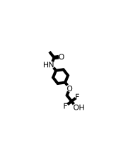 CC(=O)NC1CCC(OCC(O)(F)F)CC1